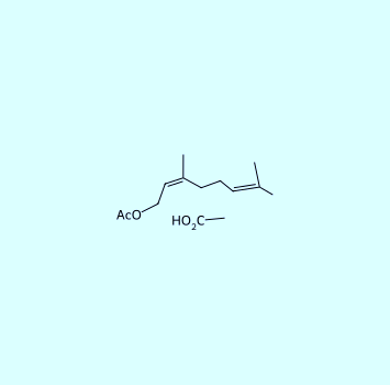 CC(=O)O.CC(=O)OC/C=C(/C)CCC=C(C)C